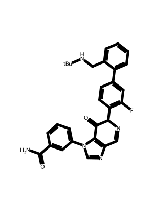 CC(C)(C)NCc1ccccc1-c1ccc(C2N=Cc3ncn(-c4cccc(C(N)=O)c4)c3C2=O)c(F)c1